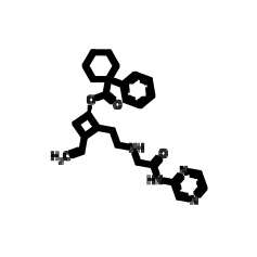 C=CC1C[C@H](OC(=O)C2(c3ccccc3)CCCCC2)C1CCNCC(=O)Nc1cnccn1